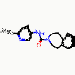 COc1ccc(NC(=O)N2CCc3ccccc3CC2)cn1